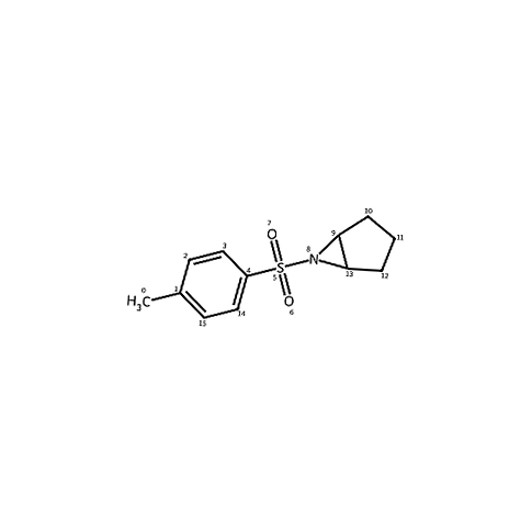 Cc1ccc(S(=O)(=O)N2C3CCCC32)cc1